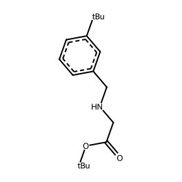 CC(C)(C)OC(=O)CNCc1cccc(C(C)(C)C)c1